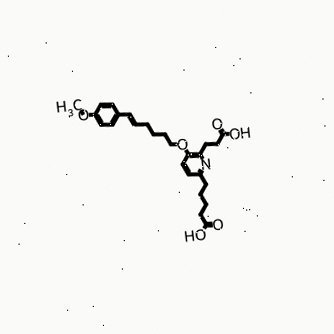 COc1ccc(C=CCCCCOc2ccc(CCCCC(=O)O)nc2CCC(=O)O)cc1